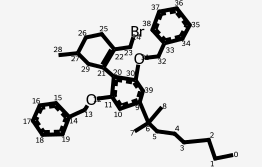 CCCCCCC(C)(C)c1cc(OCc2ccccc2)c(C2=C(CBr)CCC(C)C2)c(OCc2ccccc2)c1